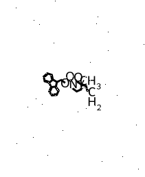 C=CC[C@]1(C)CCCN(C(=O)OCC2c3ccccc3-c3ccccc32)C1=O